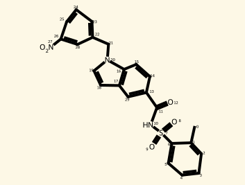 Cc1ccccc1S(=O)(=O)NC(=O)c1ccc2c(ccn2Cc2cccc([N+](=O)[O-])c2)c1